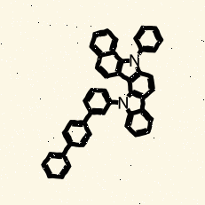 c1ccc(-c2ccc(-c3cccc(-n4c5ccccc5c5ccc6c(c7ccc8ccccc8c7n6-c6ccccc6)c54)c3)cc2)cc1